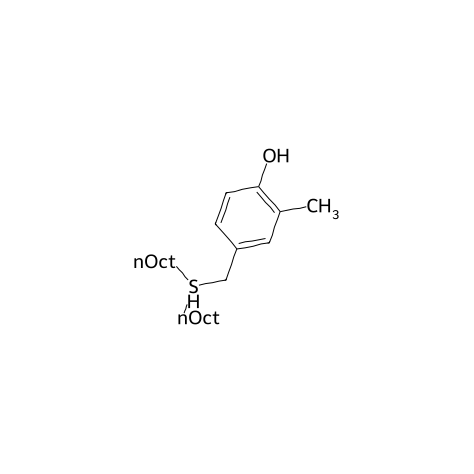 CCCCCCCC[SH](CCCCCCCC)Cc1ccc(O)c(C)c1